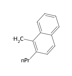 [CH2]c1c(CCC)ccc2ccccc12